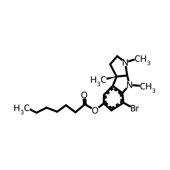 CCCCCCC(=O)Oc1cc(Br)c2c(c1)[C@]1(C)CCN(C)C1N2C